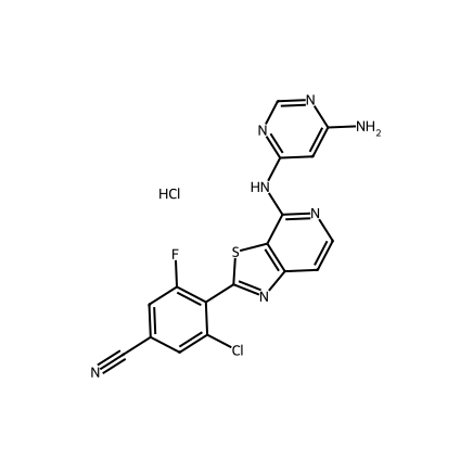 Cl.N#Cc1cc(F)c(-c2nc3ccnc(Nc4cc(N)ncn4)c3s2)c(Cl)c1